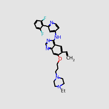 C=Cc1cc2c(Nc3ccnc(-c4c(F)cccc4F)c3)ncnc2cc1OCCCN1CCN(CC)CC1